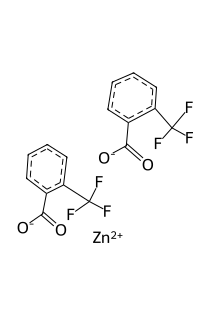 O=C([O-])c1ccccc1C(F)(F)F.O=C([O-])c1ccccc1C(F)(F)F.[Zn+2]